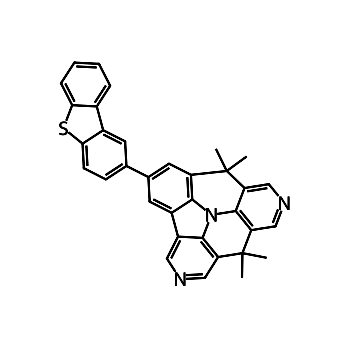 CC1(C)c2cncc3c2-n2c4c1cncc4c1cc(-c4ccc5sc6ccccc6c5c4)cc(c12)C3(C)C